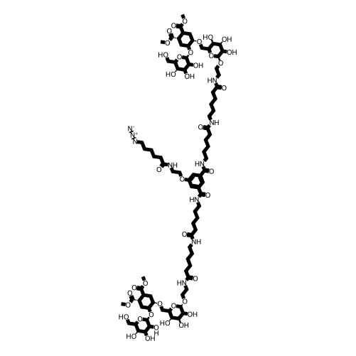 COC(=O)C1C[C@H](OCC2O[C@H](OCCNC(=O)CCCCCNC(=O)CCCCCNC(=O)c3cc(OCCNC(=O)CCCCCN=[N+]=[N-])cc(C(=O)NCCCCCC(=O)NCCCCCC(=O)NCCO[C@H]4OC(CO[C@H]5CC(C(=O)OC)[C@@H](C(=O)OC)CC5O[C@@H]5OC(CO)[C@@H](O)C(O)C5O)[C@@H](O)[C@H](O)C4O)c3)C(O)[C@@H](O)[C@@H]2O)C(O[C@@H]2OC(CO)[C@@H](O)C(O)C2O)C[C@@H]1C(=O)OC